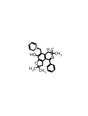 CC1(C)Cc2c(CN3C=CC=CC3)c(O)c3c(c2C(c2ccccc2)=N1)CC(C)(C)O3